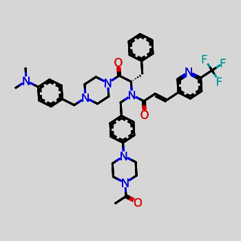 CC(=O)N1CCN(c2ccc(CN(C(=O)C=Cc3ccc(C(F)(F)F)nc3)[C@@H](Cc3ccccc3)C(=O)N3CCN(Cc4ccc(N(C)C)cc4)CC3)cc2)CC1